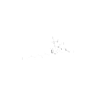 CCCCCCCC(CCCCC)O[C@@H](C(C)(C)C)C(F)(F)F